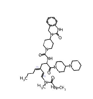 CCC/C=C(\C=C\N(C)C(=O)NC)CC(NC(=O)N1CCC(N2Cc3ccccc3NC2=O)CC1)C(=O)N1CCC(N2CCCCC2)CC1